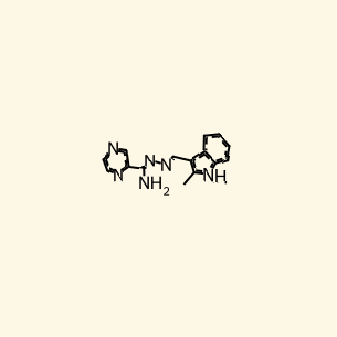 Cc1[nH]c2ccccc2c1/C=N/N=C(\N)c1cnccn1